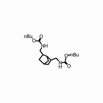 CCCCOC(=O)NCC1CC2CC(CNC(=O)OCCCC)C1C2